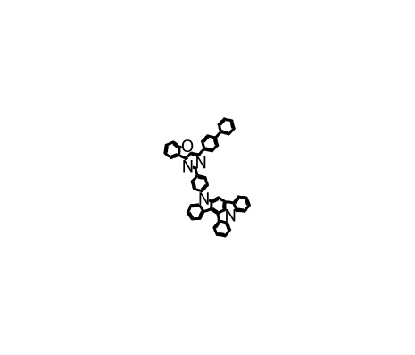 c1ccc(-c2ccc(-c3nc(-c4ccc(-n5c6ccccc6c6c7c8ccccc8n8c9ccccc9c(cc65)c78)cc4)nc4c3oc3ccccc34)cc2)cc1